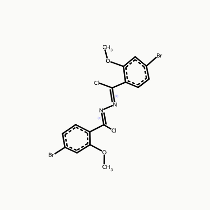 COc1cc(Br)ccc1/C(Cl)=N/N=C(\Cl)c1ccc(Br)cc1OC